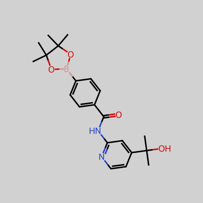 CC(C)(O)c1ccnc(NC(=O)c2ccc(B3OC(C)(C)C(C)(C)O3)cc2)c1